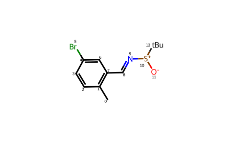 Cc1ccc(Br)cc1/C=N/[S+]([O-])C(C)(C)C